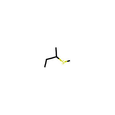 CC[C](C)SC